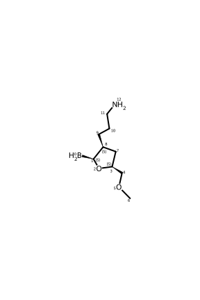 B[C@@H]1O[C@H](COC)C[C@@H]1CCCN